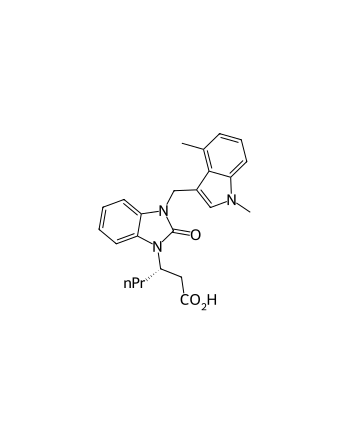 CCC[C@@H](CC(=O)O)n1c(=O)n(Cc2cn(C)c3cccc(C)c23)c2ccccc21